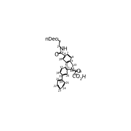 CCCCCCCCCCCCNC(=O)c1ccc(CN(C(=O)C(=O)O)c2cccc(-c3ccccc3)c2)cc1